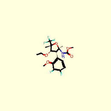 CCO[C@H]1[C@@H](c2ccc(F)c(F)c2OC)[C@](C)(NC(=O)OC)O[C@@]1(C)C(F)(F)F